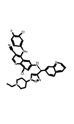 CCN1CCC(n2cc([C@@H](Nc3cc(Cl)c4ncc(C#N)c(Nc5ccc(F)c(Cl)c5)c4c3)c3ccc4cccnc4c3)nn2)CC1